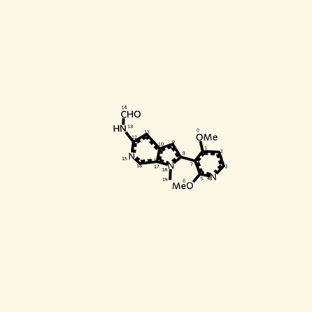 COc1ccnc(OC)c1-c1cc2cc(NC=O)ncc2n1C